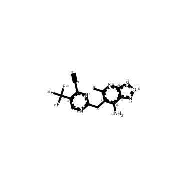 C#Cc1nc(Cc2c(C)nc3nonc3c2N)ncc1C(F)(F)F